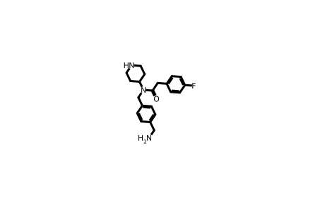 NCc1ccc(CN(C(=O)Cc2ccc(F)cc2)C2CCNCC2)cc1